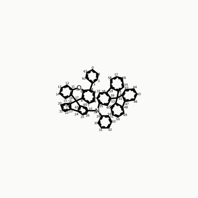 c1ccc(-c2cccc3c2Oc2ccccc2C32c3ccccc3-c3ccc(N(c4ccccc4)c4ccc5c(c4)C4(c6ccccc6-c6ccccc64)c4ccccc4-5)cc32)cc1